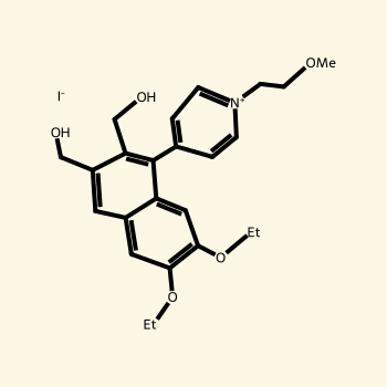 CCOc1cc2cc(CO)c(CO)c(-c3cc[n+](CCOC)cc3)c2cc1OCC.[I-]